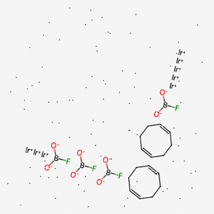 C1=CCCC=CCC1.C1=CCCC=CCC1.[Ir+].[Ir+].[Ir+].[Ir+].[Ir+].[Ir+].[Ir+].[Ir+].[O-]B([O-])F.[O-]B([O-])F.[O-]B([O-])F.[O-]B([O-])F